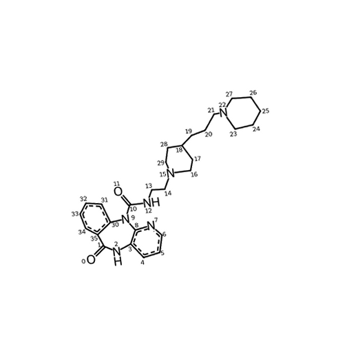 O=C1Nc2cccnc2N(C(=O)NCCN2CCC(CCCN3CCCCC3)CC2)c2ccccc21